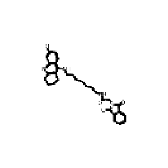 O=C(CN1C(=O)c2ccccc2C1=O)NCCCCCCCNc1c2c(nc3cc(Cl)ccc13)CCCC2